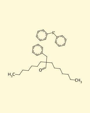 CCCCCCCC(C=O)(CCCCCCC)Cc1ccccc1.c1ccc([I+]c2ccccc2)cc1